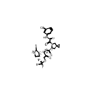 O=C(Nc1cccc(Cl)c1)C(=O)N1CC2(CC2)C[C@H]1C(=O)N[C@@H](C[C@@H]1CCNC1=O)C(=O)COC(F)(F)F